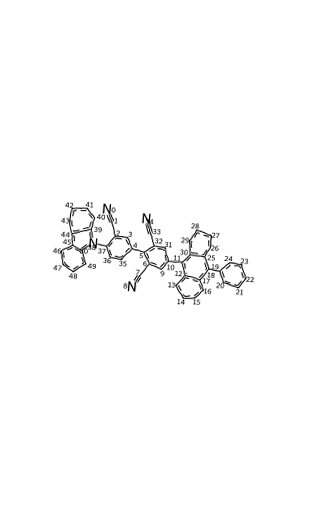 N#Cc1cc(-c2c(C#N)cc(-c3c4ccccc4c(-c4ccccc4)c4ccccc34)cc2C#N)ccc1-n1c2ccccc2c2ccccc21